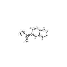 N[N+](=O)c1[c]c2ccccc2cc1